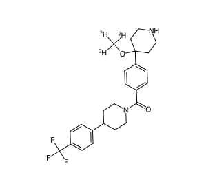 [2H]C([2H])([2H])OC1(c2ccc(C(=O)N3CCC(c4ccc(C(F)(F)F)cc4)CC3)cc2)CCNCC1